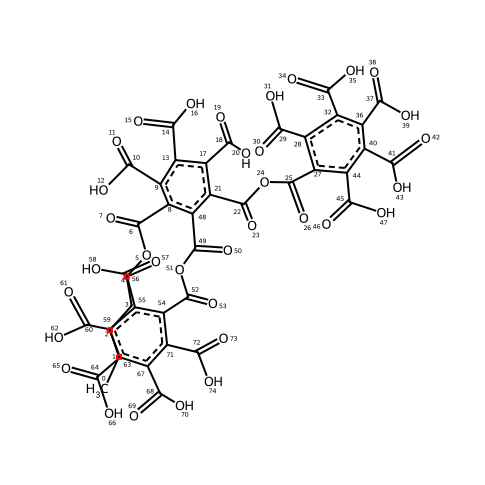 CCCCCOC(=O)c1c(C(=O)O)c(C(=O)O)c(C(=O)O)c(C(=O)OC(=O)c2c(C(=O)O)c(C(=O)O)c(C(=O)O)c(C(=O)O)c2C(=O)O)c1C(=O)OC(=O)c1c(C(=O)O)c(C(=O)O)c(C(=O)O)c(C(=O)O)c1C(=O)O